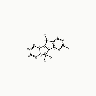 Cc1ccc2c(c1)C1C(C3C=CC=CC3C1(C)C)N2C